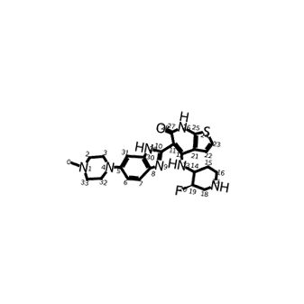 CN1CCN(c2ccc3nc(-c4c(NC5CCNC[C@H]5F)c5ccsc5[nH]c4=O)[nH]c3c2)CC1